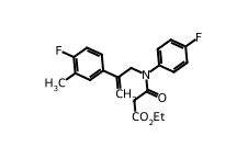 C=C(CN(C(=O)CC(=O)OCC)c1ccc(F)cc1)c1ccc(F)c(C)c1